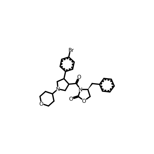 O=C1OC[C@H](Cc2ccccc2)N1C(=O)C1CN(C2CCOCC2)CC1c1ccc(Br)cc1